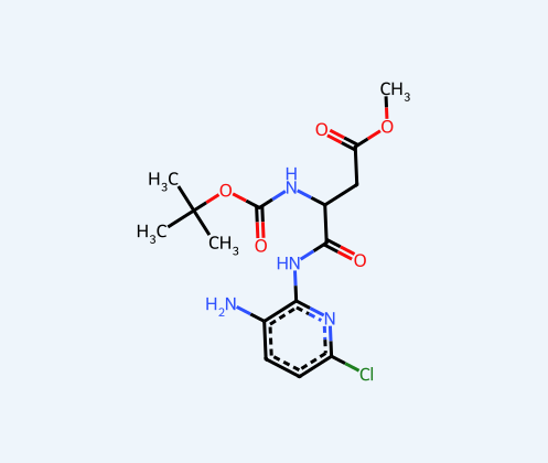 COC(=O)CC(NC(=O)OC(C)(C)C)C(=O)Nc1nc(Cl)ccc1N